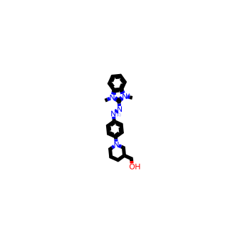 Cn1c(/N=N/c2ccc(N3CCCC(CO)C3)cc2)[n+](C)c2ccccc21